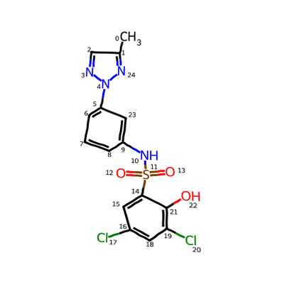 Cc1cnn(-c2cccc(NS(=O)(=O)c3cc(Cl)cc(Cl)c3O)c2)n1